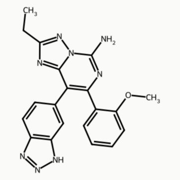 CCc1nc2c(-c3ccc4nn[nH]c4c3)c(-c3ccccc3OC)nc(N)n2n1